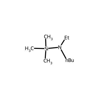 CCCCN(CC)[Si](C)(C)C